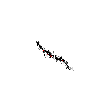 C=CC(=O)OCCOC(=O)CCC(=O)OC1CCC(C(=O)Oc2c(C)cc(OC(=O)C3CCC(C(=O)Oc4cc(C)c(OC(=O)C5CCC(OC(=O)CCC(=O)OCCOC(=O)C=C)CC5)c(C)c4C)CC3)c(C)c2C)CC1